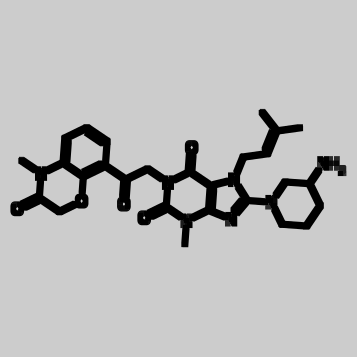 CC(C)=CCn1c(N2CCCC(N)C2)nc2c1c(=O)n(CC(=O)c1cccc3c1OCC(=O)N3C)c(=O)n2C